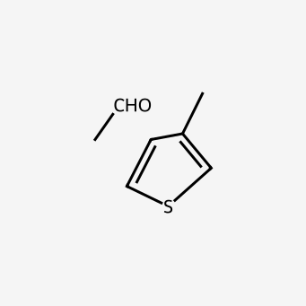 CC=O.Cc1ccsc1